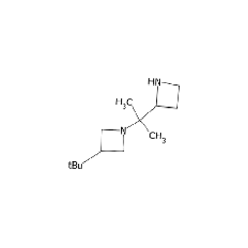 CC(C)(C)C1CN(C(C)(C)C2CCN2)C1